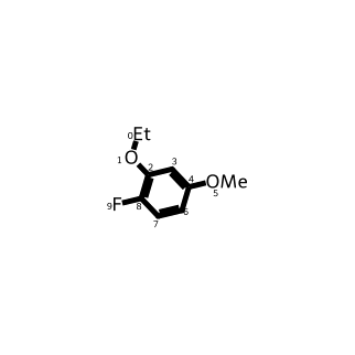 CCOc1cc(OC)ccc1F